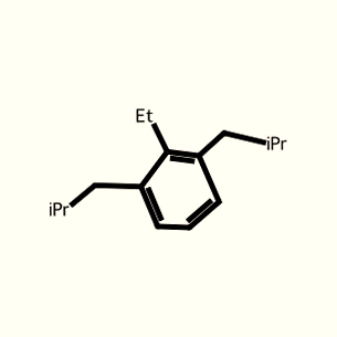 [CH2]Cc1c(CC(C)C)cccc1CC(C)C